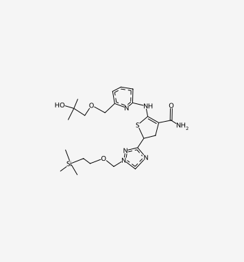 CC(C)(O)COCc1cccc(NC2=C(C(N)=O)CC(c3ncn(COCC[Si](C)(C)C)n3)S2)n1